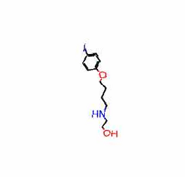 OCCNCCCCOc1ccc(I)cc1